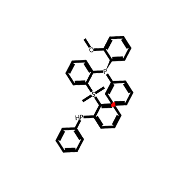 COc1ccccc1[P@@](c1ccccc1)c1ccccc1S(C)(C)c1ccccc1Pc1ccccc1